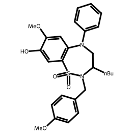 CCCCC1CN(c2ccccc2)c2cc(OC)c(O)cc2S(=O)(=O)N1Cc1ccc(OC)cc1